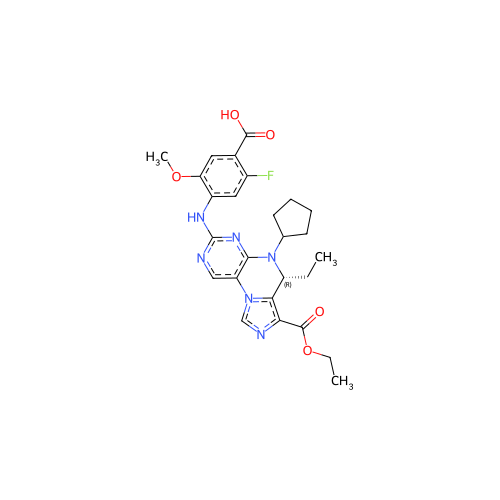 CCOC(=O)c1ncn2c1[C@@H](CC)N(C1CCCC1)c1nc(Nc3cc(F)c(C(=O)O)cc3OC)ncc1-2